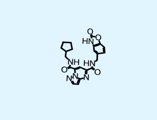 O=C(NCc1ccc2oc(=O)[nH]c2c1)c1cc(C(=O)NCC2CCCC2)n2nccc2n1